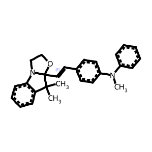 CN(c1ccccc1)c1ccc(/C=C/C23OCCN2c2ccccc2C3(C)C)cc1